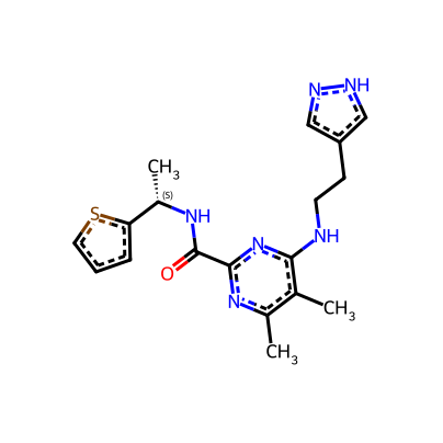 Cc1nc(C(=O)N[C@@H](C)c2cccs2)nc(NCCc2cn[nH]c2)c1C